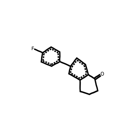 O=C1CCCc2cc(-c3ccc(F)cc3)ccc21